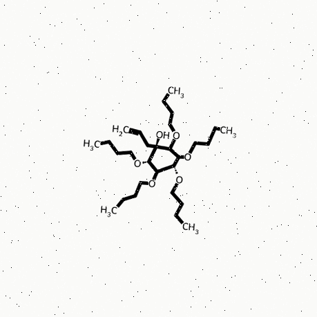 C=CC[C@]1(O)C(OCCCC)C(OCCCC)[C@H](OCCCC)C(OCCCC)[C@@H]1OCCCC